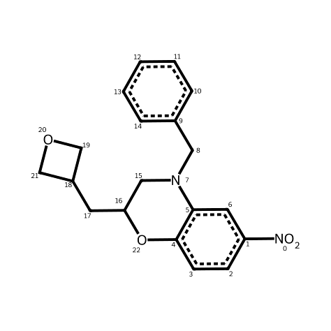 O=[N+]([O-])c1ccc2c(c1)N(Cc1ccccc1)CC(CC1COC1)O2